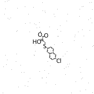 COC(=O)[C@@H](O)CSc1ccc2cc(Cl)ccc2c1